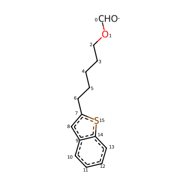 O=[C]OCCCCCc1cc2ccccc2s1